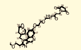 COCCc1nc2cnc3cc(OCCOCCNC(=O)CCN4C(=O)C=CC4=O)ccc3c2n1CC1CCOCC1